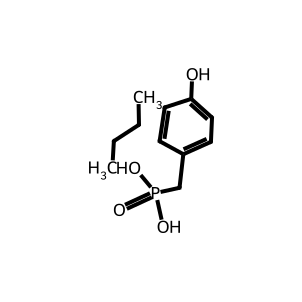 CCCC.O=P(O)(O)Cc1ccc(O)cc1